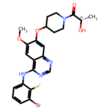 COc1cc2c(Nc3cccc(Br)c3F)ncnc2cc1OC1CCN(C(=O)[C@H](C)O)CC1